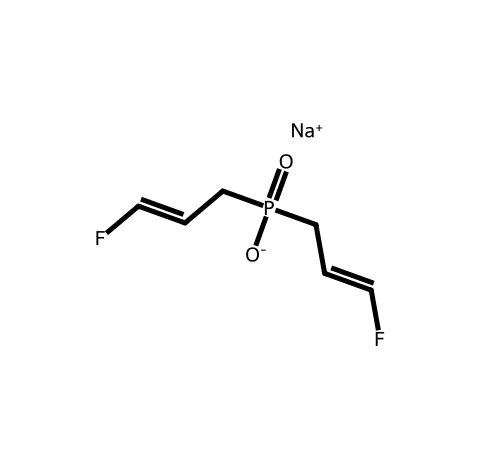 O=P([O-])(CC=CF)CC=CF.[Na+]